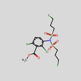 COC(=O)c1c(F)ccc(N(S(=O)(=O)CCCF)S(=O)(=O)CCCF)c1Cl